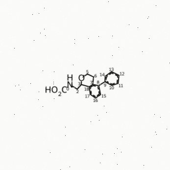 O=C(O)NCC1OCCc2c(-c3ccccc3)cccc21